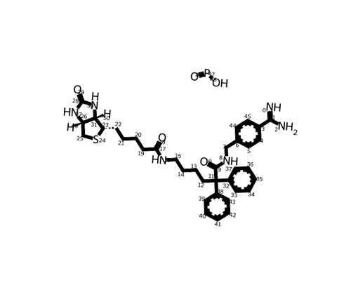 N=C(N)c1ccc(CNC(=O)C(CCCCNC(=O)CCCC[C@@H]2SC[C@@H]3NC(=O)N[C@@H]32)(c2ccccc2)c2ccccc2)cc1.O=PO